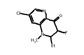 CCC1C(F)C(=O)c2ncc(Cl)cc2N1C